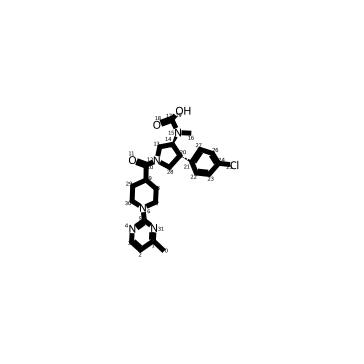 Cc1ccnc(N2CCC(C(=O)N3C[C@@H](N(C)C(=O)O)[C@H](c4ccc(Cl)cc4)C3)CC2)n1